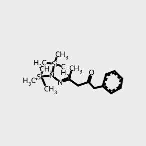 C/C(CC(=O)Cc1ccccc1)=N\N([Si](C)(C)C)[Si](C)(C)C